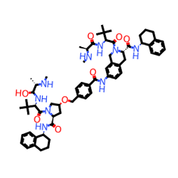 CN[C@@H](C)C(=O)N[C@H](C(=O)N1Cc2cc(NC(=O)c3ccc(CO[C@H]4C[C@@H](C(=O)N[C@@H]5CCCc6ccccc65)N(C(=O)[C@@H](NC(O)[C@H](C)NC)C(C)(C)C)C4)cc3)ccc2C[C@H]1C(=O)N[C@@H]1CCCc2ccccc21)C(C)(C)C